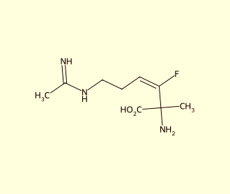 CC(=N)NCC/C=C(/F)C(C)(N)C(=O)O